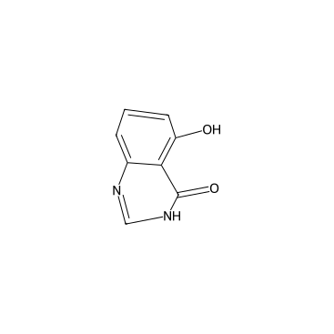 O=c1[nH]cnc2cccc(O)c12